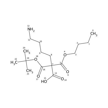 CCCCOC(=O)C(CCCCN)(C(=O)O)C(=O)OC(C)(C)C